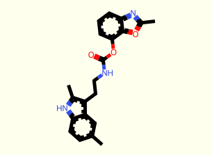 Cc1ccc2[nH]c(C)c(CCNC(=O)Oc3cccc4nc(C)oc34)c2c1